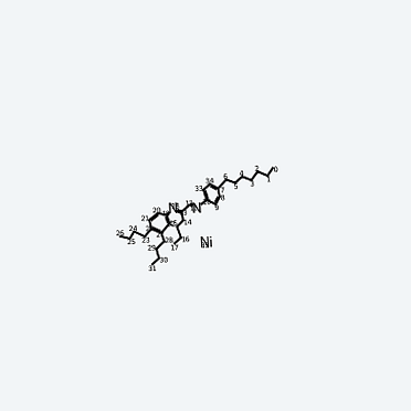 CCCCCCCc1ccc(/N=C/C(CCCC)=N/c2ccc(CCCC)c(CCCC)c2)cc1.[Ni]